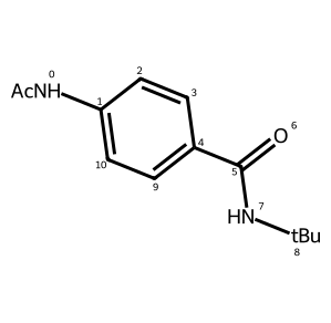 [CH2]C(=O)Nc1ccc(C(=O)NC(C)(C)C)cc1